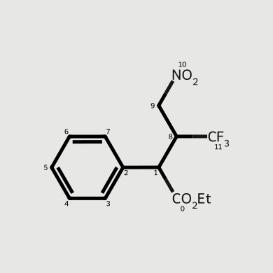 CCOC(=O)C(c1ccccc1)C(C[N+](=O)[O-])C(F)(F)F